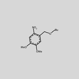 CCC(C)OCc1cc(OC)c(OC)cc1[N+](=O)[O-]